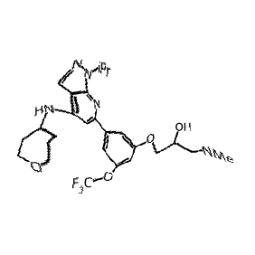 CNCC(O)COc1cc(OC(F)(F)F)cc(-c2cc(NC3CCOCC3)c3cnn(C(C)C)c3n2)c1